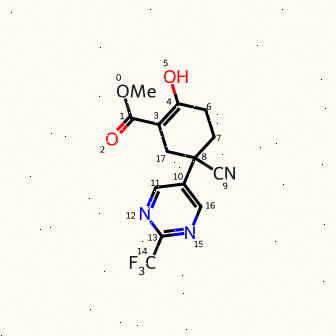 COC(=O)C1=C(O)CCC(C#N)(c2cnc(C(F)(F)F)nc2)C1